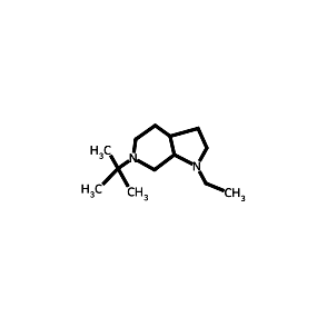 CCN1CCC2CCN(C(C)(C)C)CC21